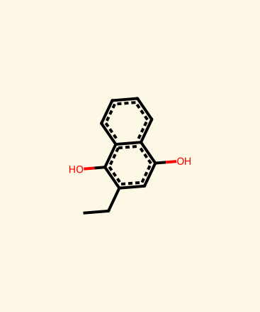 CCc1cc(O)c2ccccc2c1O